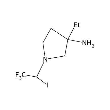 CCC1(N)CCN(C(I)C(F)(F)F)C1